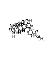 CONC(=O)c1cccc(-c2ccc(O)c3c2C[C@H]2C[C@H]4CC(O)=C(C(N)=O)C(=O)[C@@]4(O)C(O)=C2C3=O)c1